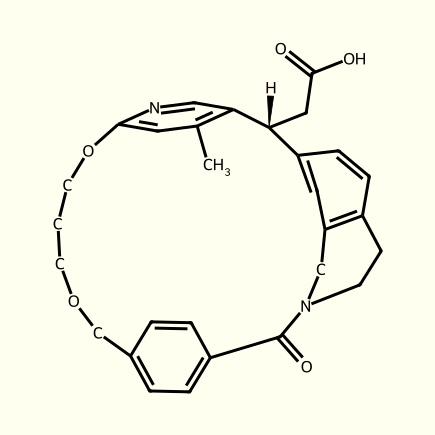 Cc1cc2ncc1[C@H](CC(=O)O)c1ccc3c(c1)CN(CC3)C(=O)c1ccc(cc1)COCCCO2